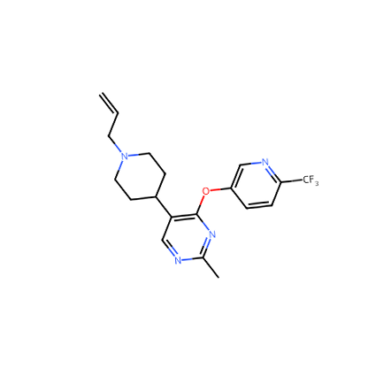 C=CCN1CCC(c2cnc(C)nc2Oc2ccc(C(F)(F)F)nc2)CC1